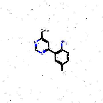 COc1cc(-c2cc(C(C)C)ccc2N)ncn1